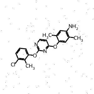 Cc1cc(Oc2ccnc(Oc3cccc(Cl)c3C)n2)c(C)cc1N